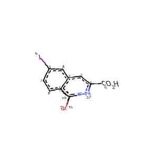 O=C(O)c1cc2cc(I)ccc2c(Br)n1